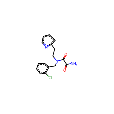 NC(=O)C(=O)N(CCc1ccccn1)Cc1ccccc1Cl